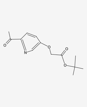 CC(=O)c1ccc(OCC(=O)OC(C)(C)C)cn1